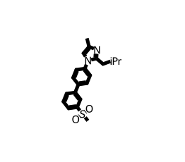 Cc1cn(-c2ccc(-c3cccc(S(C)(=O)=O)c3)cc2)c(CC(C)C)n1